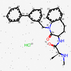 CN[C@@H](C)C(=O)NC1CCc2ccccc2N(Cc2cccc(-c3ccccc3)c2)C1=O.Cl